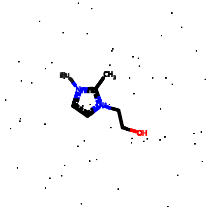 CCC(C)n1cc[n+](CCO)c1C